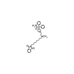 CN(CCCCCCCCN1C(=O)c2ccccc2C1=O)CCN1CC[C@@H](C(C(N)=O)(c2ccccc2)c2ccccc2)C1